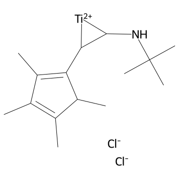 CC1=C(C)C(C)C([CH]2[Ti+2][CH]2NC(C)(C)C)=C1C.[Cl-].[Cl-]